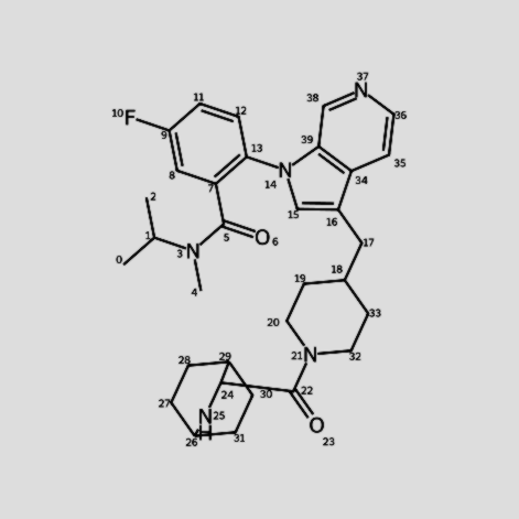 CC(C)N(C)C(=O)c1cc(F)ccc1-n1cc(CC2CCN(C(=O)C3NC4CCC3CC4)CC2)c2ccncc21